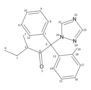 CCC(C)C(=O)C(c1ccccc1)(c1ccccc1C)n1cncn1